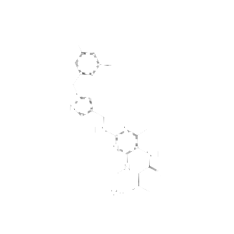 CO[C@H](C)[C@H]1C(=O)Nc2c(C)nc(NCc3cnn(Cc4cc(F)cc(F)c4)c3)nc2N1C